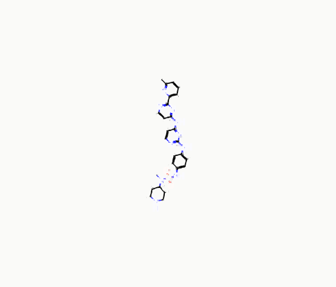 Cc1cccc(-c2nccc(Nc3ccnc(Nc4ccc(NS(=O)(=O)N(C)C5CCNCC5)cc4)n3)n2)n1